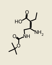 CCC(C(=O)O)=C(N)CNC(=O)OC(C)(C)C